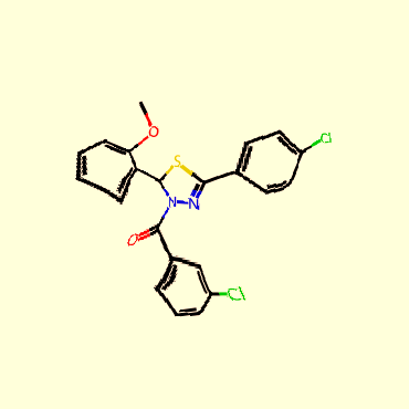 COc1ccccc1C1SC(c2ccc(Cl)cc2)=NN1C(=O)c1cccc(Cl)c1